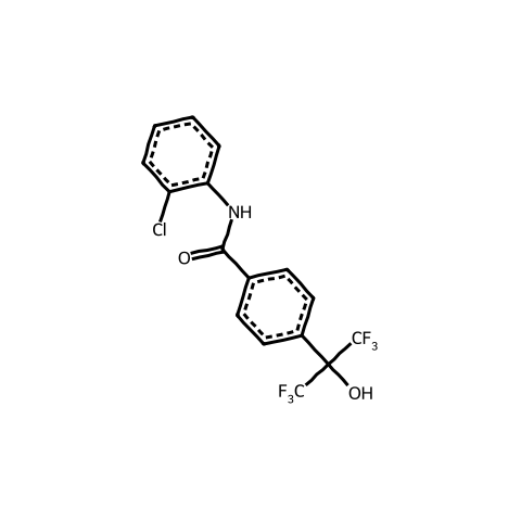 O=C(Nc1ccccc1Cl)c1ccc(C(O)(C(F)(F)F)C(F)(F)F)cc1